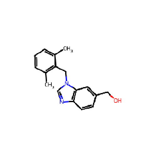 Cc1cccc(C)c1Cn1cnc2ccc(CO)cc21